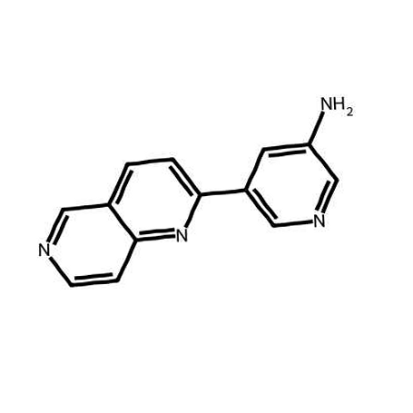 Nc1cncc(-c2ccc3cnccc3n2)c1